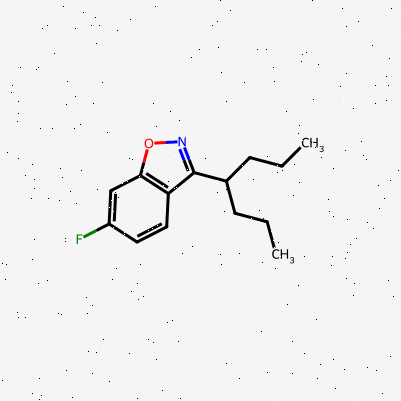 CCCC(CCC)c1noc2cc(F)ccc12